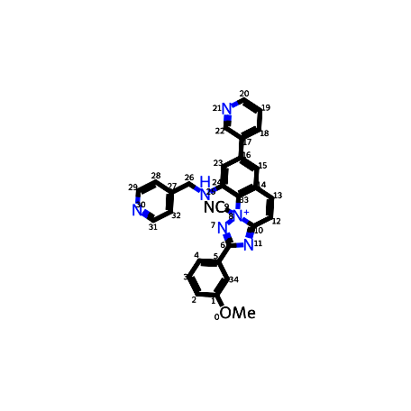 COc1cccc(C2=N[N+]3(C#N)C(=N2)C=Cc2cc(-c4cccnc4)cc(NCc4ccncc4)c23)c1